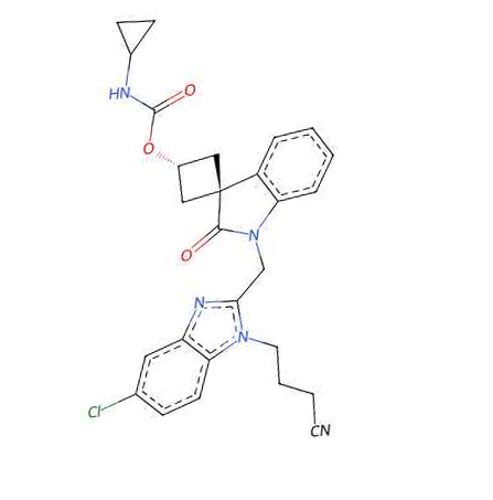 N#CCCCn1c(CN2c3ccccc3[C@]3(C[C@@H](OC(=O)NC4CC4)C3)C2=O)nc2cc(Cl)ccc21